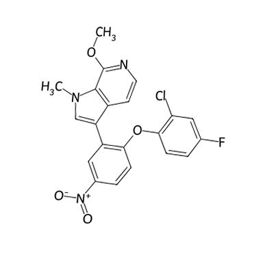 COc1nccc2c(-c3cc([N+](=O)[O-])ccc3Oc3ccc(F)cc3Cl)cn(C)c12